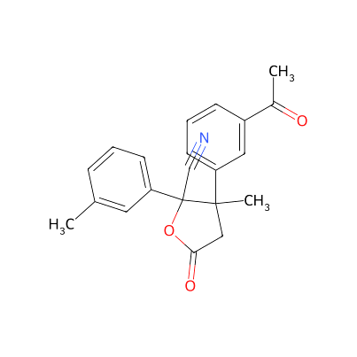 CC(=O)c1cccc(C2(C)CC(=O)OC2(C#N)c2cccc(C)c2)c1